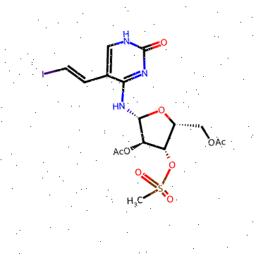 CC(=O)OC[C@H]1O[C@@H](Nc2nc(=O)[nH]cc2C=CI)[C@H](OC(C)=O)[C@H]1OS(C)(=O)=O